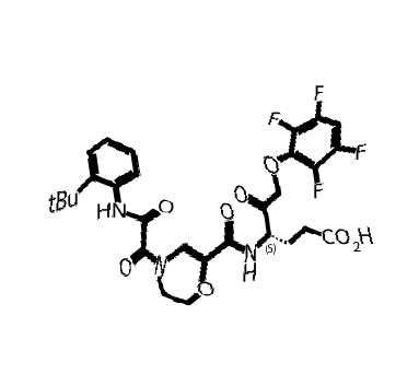 CC(C)(C)c1ccccc1NC(=O)C(=O)N1CCOC(C(=O)N[C@@H](CCC(=O)O)C(=O)COc2c(F)c(F)cc(F)c2F)C1